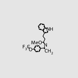 C=C(/N=C(/CCc1c[nH]c2ccccc12)OC)c1ccc(OC(F)(F)F)cc1